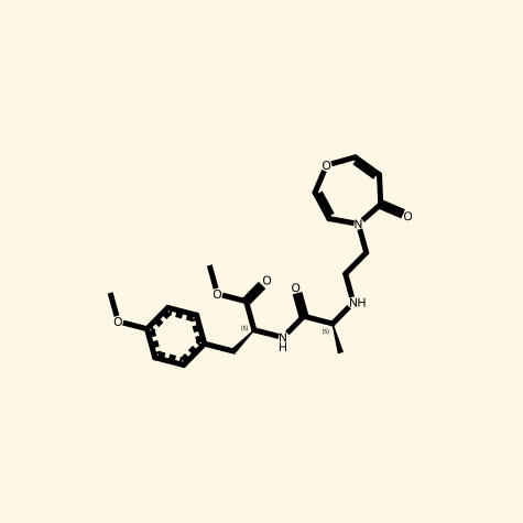 COC(=O)[C@H](Cc1ccc(OC)cc1)NC(=O)[C@H](C)NCCN1C=COC=CC1=O